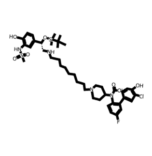 CC(C)(C)[Si](C)(C)O[C@H](CNCCCCCCCCCN1CCC(N(C(=O)O)c2ccc(F)cc2-c2ccc(O)c(Cl)c2)CC1)c1ccc(O)c(NS(C)(=O)=O)c1